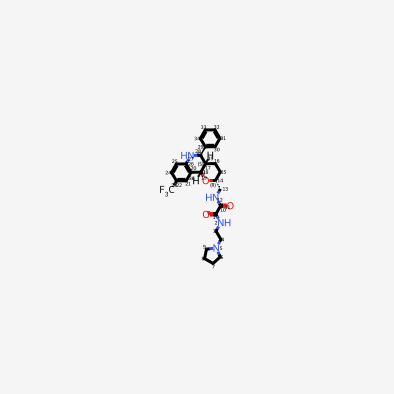 O=C(NCCN1CCCC1)C(=O)NC[C@H]1CC[C@@H]2[C@H](O1)c1cc(C(F)(F)F)ccc1N[C@H]2c1ccccc1